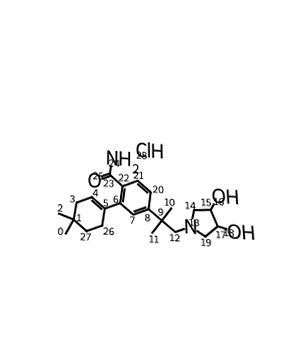 CC1(C)CC=C(c2cc(C(C)(C)CN3CC(O)C(O)C3)ccc2C(N)=O)CC1.Cl